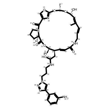 CC1=C\[C@@H](O)C[C@@H](F)Cc2nc(co2)C(=O)N2CCC[C@@H]2C(=O)O[C@H](C(C)C)[C@H](CC(O)NCCCn2cc(-c3cccc(N)c3)nn2)/C=C/C(=O)NC\C=C\1